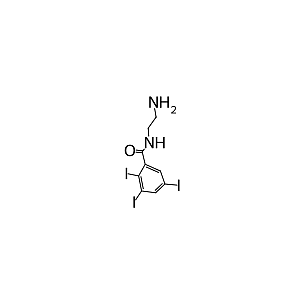 NCCNC(=O)c1cc(I)cc(I)c1I